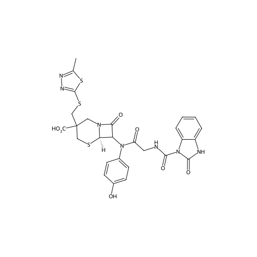 Cc1nnc(SCC2(C(=O)O)CS[C@@H]3C(N(C(=O)CNC(=O)n4c(=O)[nH]c5ccccc54)c4ccc(O)cc4)C(=O)N3C2)s1